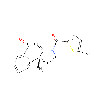 Cc1ccc(C(=O)N2CC[C@@]3(C)C2=CC(=O)c2ccccc23)s1